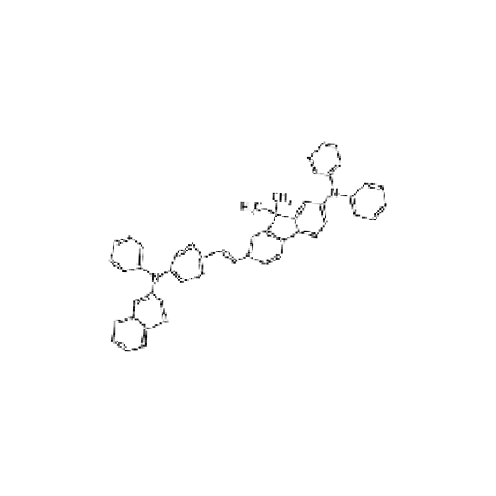 CC1(C)c2cc(C=Cc3ccc(N(c4ccccc4)c4ccc5ccccc5c4)cc3)ccc2-c2ccc(N(c3ccccc3)c3ccccc3)cc21